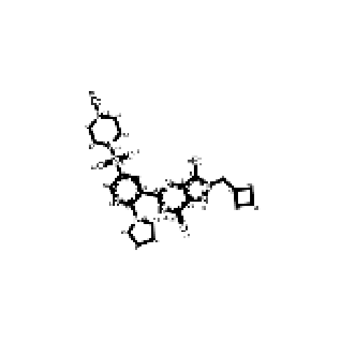 CCc1c2nc(-c3cc(S(=O)(=O)N4CCN(CC)CC4)cnc3N3CCCC3)[nH]c(=O)c2nn1CC1CCC1